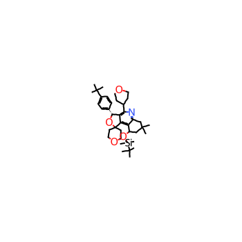 CC1(C)Cc2nc(C3CCOCC3)c3c(c2C(O[Si](C)(C)C(C)(C)C)C1)C1(CCOCC1)O[C@@H]3c1ccc(C(C)(C)C)cc1